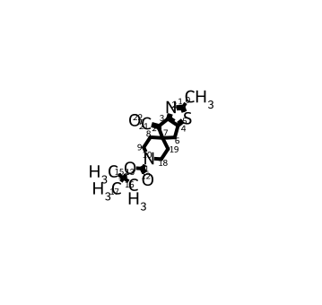 Cc1nc2c(s1)CC1(CCN(C(=O)OC(C)(C)C)CC1)C2=C=O